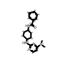 CN(C)c1ccnc(NC2CCC(NC(=O)c3ccccc3)CC2)n1